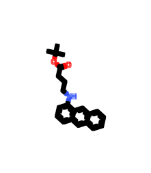 CC(C)(C)OC(=O)CCCNc1cccc2cc3ccccc3cc12